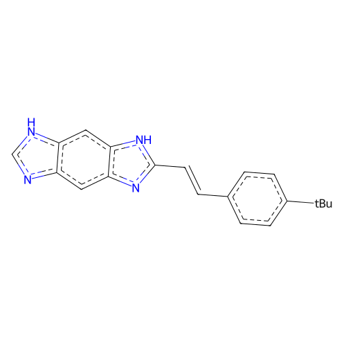 CC(C)(C)c1ccc(C=Cc2nc3cc4nc[nH]c4cc3[nH]2)cc1